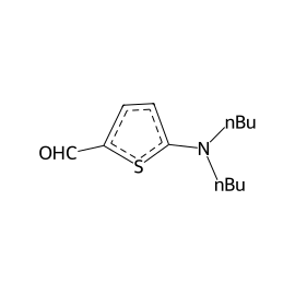 CCCCN(CCCC)c1ccc(C=O)s1